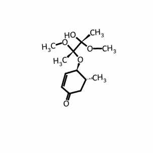 CO[C@@](C)(O[C@@H]1C=CC(=O)C[C@H]1C)[C@](C)(O)OC